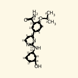 CC(C)Oc1ccc(-c2ccnc(Nc3cccc(O)c3)n2)cc1C(N)=O